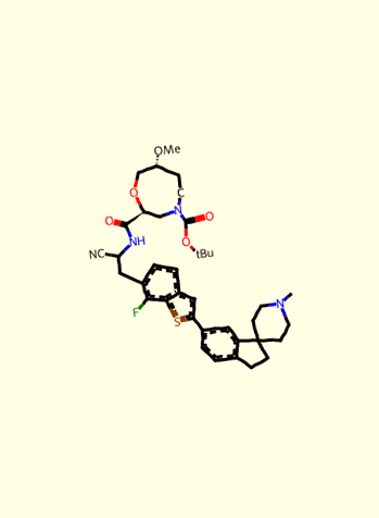 CO[C@@H]1CCN(C(=O)OC(C)(C)C)C[C@@H](C(=O)NC(C#N)Cc2ccc3cc(-c4ccc5c(c4)C4(CC5)CCN(C)CC4)sc3c2F)OC1